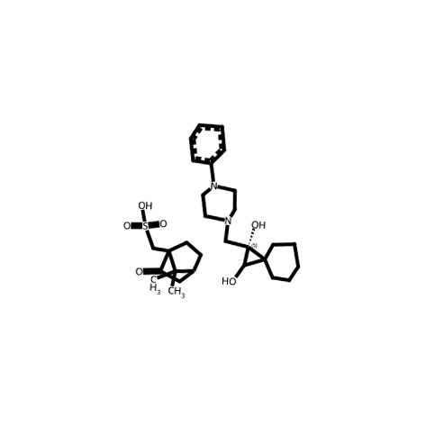 CC1(C)C2CCC1(CS(=O)(=O)O)C(=O)C2.OC1C2(CCCCC2)[C@]1(O)CN1CCN(c2ccccc2)CC1